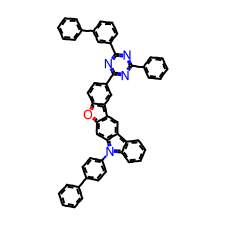 c1ccc(-c2ccc(-n3c4ccccc4c4cc5c(cc43)oc3ccc(-c4nc(-c6ccccc6)nc(-c6cccc(-c7ccccc7)c6)n4)cc35)cc2)cc1